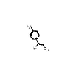 CC=C(C)c1ccc(N)cc1